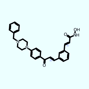 O=C(/C=C/c1cccc(/C=C/C(=O)c2ccc(N3CCN(Cc4ccccc4)CC3)cc2)c1)NO